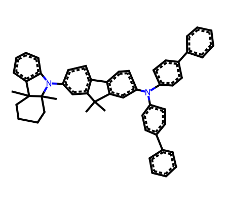 CC1(C)c2cc(N(c3ccc(-c4ccccc4)cc3)c3ccc(-c4ccccc4)cc3)ccc2-c2ccc(N3c4ccccc4C4(C)CCCCC34C)cc21